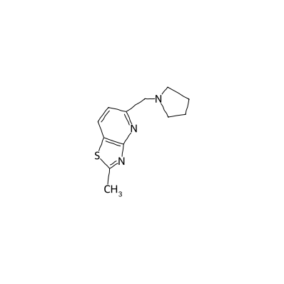 Cc1nc2nc(CN3CCCC3)ccc2s1